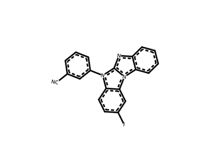 N#Cc1cccc(-n2c3ccc(I)cc3n3c4ccccc4nc23)c1